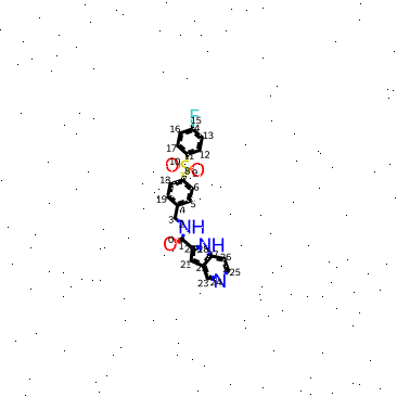 O=C(NCc1ccc(S(=O)(=O)c2ccc(F)cc2)cc1)c1cc2cnccc2[nH]1